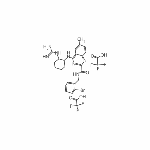 Cc1ccc2nc(C(=O)NCc3ccccc3Br)nc(NC3CCCCC3NC(=N)N)c2c1.O=C(O)C(F)(F)F.O=C(O)C(F)(F)F